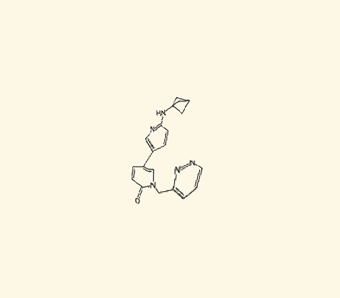 O=c1ccc(-c2ccc(NC34CC(C3)C4)nc2)cn1Cc1cccnn1